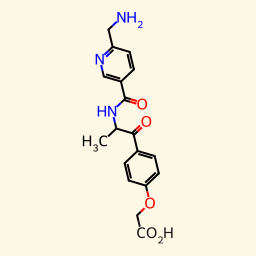 CC(NC(=O)c1ccc(CN)nc1)C(=O)c1ccc(OCC(=O)O)cc1